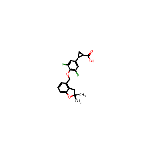 CC1(C)Cc2c(COc3c(F)cc(C4CC4C(=O)O)cc3F)cccc2O1